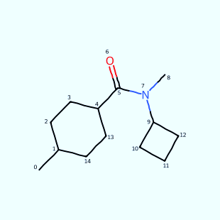 CC1CCC(C(=O)N(C)C2CCC2)CC1